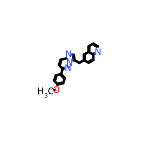 COc1ccc(-c2ccc3ncc(Cc4ccc5ncccc5c4)n3n2)cc1